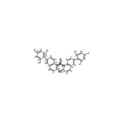 Cc1cc(C)c(-c2ccc3c(c2)C=CC2=Nc4ccc5cc(-c6c(C)cc(C)cc6C)ccc5[n+]4B(F)N23)c(C)c1